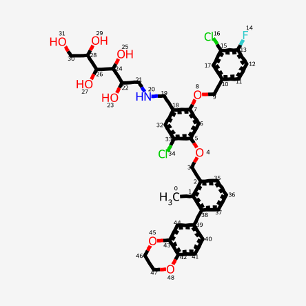 Cc1c(COc2cc(OCc3ccc(F)c(Cl)c3)c(CNCC(O)C(O)C(O)C(O)CO)cc2Cl)cccc1-c1ccc2c(c1)OCCO2